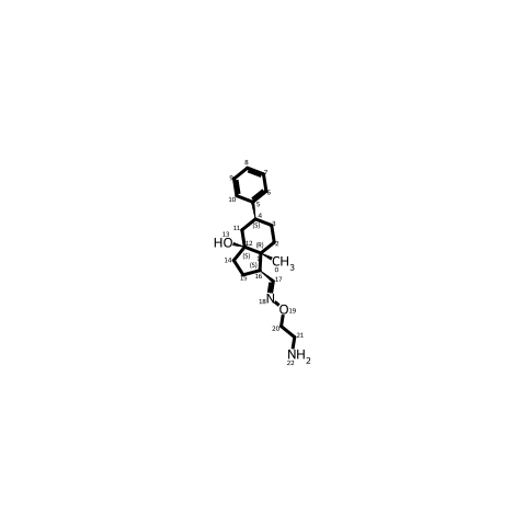 C[C@]12CC[C@H](c3ccccc3)C[C@@]1(O)CC[C@@H]2C=NOCCN